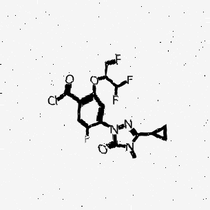 Cn1c(C2CC2)nn(-c2cc(O[C@@H](CF)C(F)F)c(C(=O)Cl)cc2F)c1=O